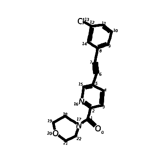 O=C(c1ccc(C#Cc2cccc(Cl)c2)cn1)N1CCOCC1